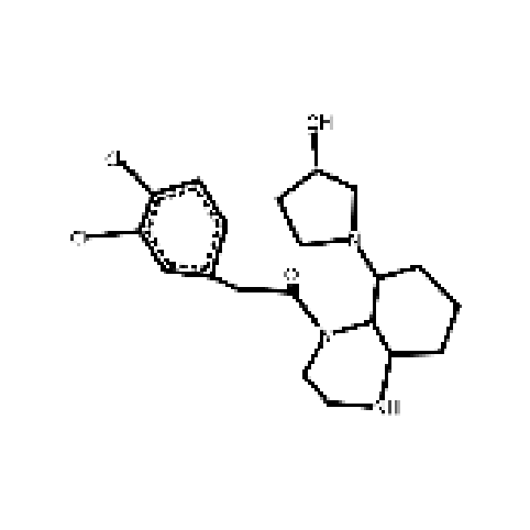 O=C(Cc1ccc(Cl)c(Cl)c1)N1CCNC2CCCC(N3CC[C@@H](O)C3)C21